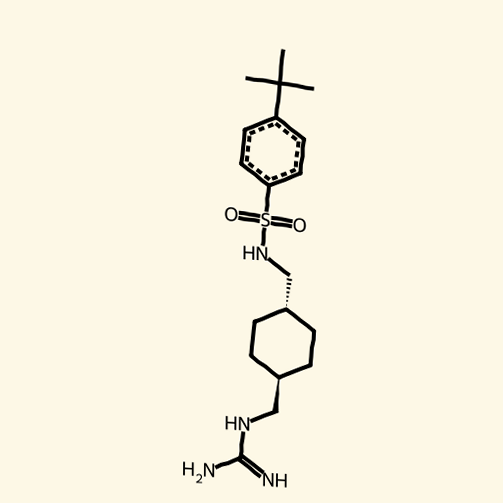 CC(C)(C)c1ccc(S(=O)(=O)NC[C@H]2CC[C@H](CNC(=N)N)CC2)cc1